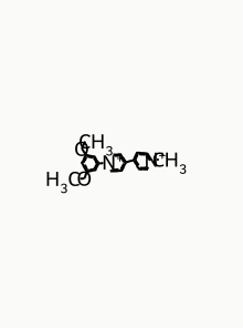 COc1cc(OC)cc(-[n+]2ccc(-c3cc[n+](C)cc3)cc2)c1